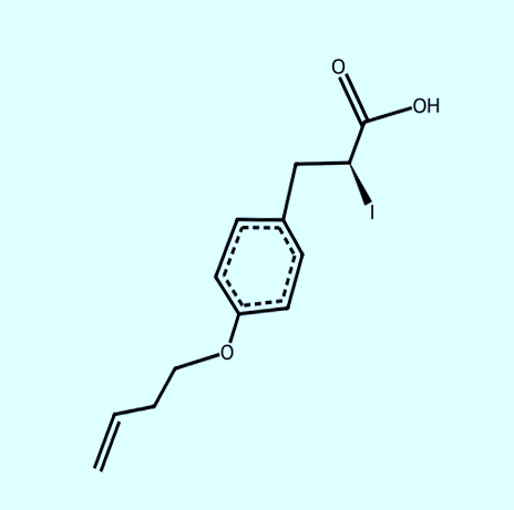 C=CCCOc1ccc(C[C@H](I)C(=O)O)cc1